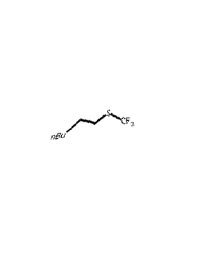 CCCCCCSC(F)(F)F